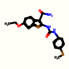 CCOc1ccc2c(C(N)=O)c(NC(=O)Nc3ccc(SC)cc3)sc2c1